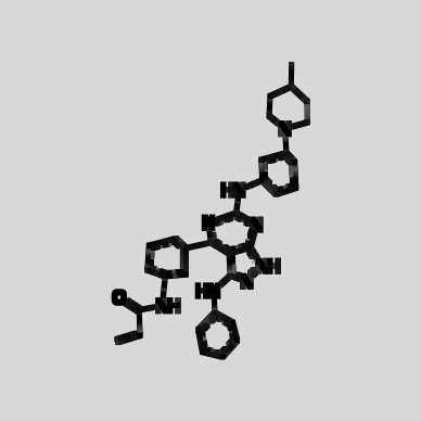 C=CC(=O)Nc1cccc(-c2nc(Nc3cccc(N4CCC(C)CC4)c3)nc3[nH]nc(Nc4ccccc4)c23)c1